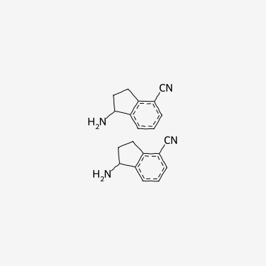 N#Cc1cccc2c1CCC2N.N#Cc1cccc2c1CCC2N